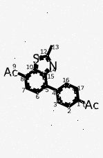 CC(=O)c1ccc(-c2ccc(C(C)=O)c3sc(C)nc23)cc1